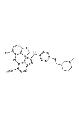 CN1CCCC(COc2ccc(Nc3nc4ncc(C#N)c(Nc5c(Cl)ccc6c5OCO6)c4s3)cc2)C1